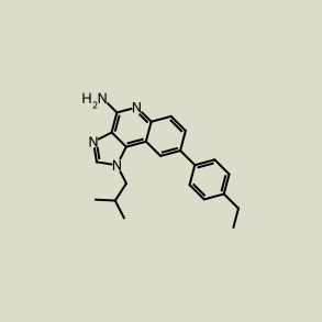 CCc1ccc(-c2ccc3nc(N)c4ncn(CC(C)C)c4c3c2)cc1